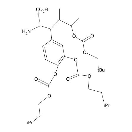 CC(C)CCOC(=O)Oc1ccc(C(C(C)C(C)OC(=O)OCC(C)(C)C)[C@H](N)C(=O)O)cc1OC(=O)OCCC(C)C